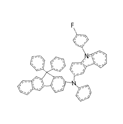 Fc1ccc(-n2c3ccccc3c3cc(N(c4ccccc4)c4ccc5c(c4)C(c4ccccc4)(c4ccccc4)c4cc6ccccc6cc4-5)ccc32)cc1